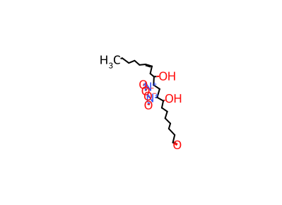 CCCCC/C=C\CC(O)C(CC(C(O)CCCCCCC=O)[N+](=O)[O-])[N+](=O)[O-]